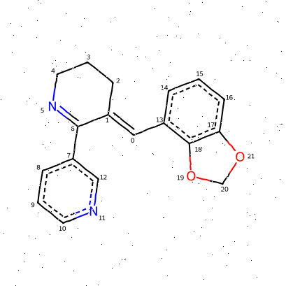 C(=C1CCCN=C1c1cccnc1)c1cccc2c1OCO2